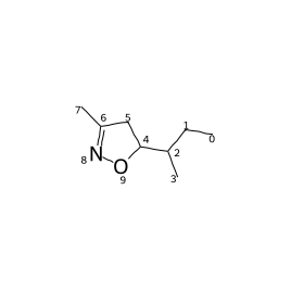 CCC(C)C1CC(C)=NO1